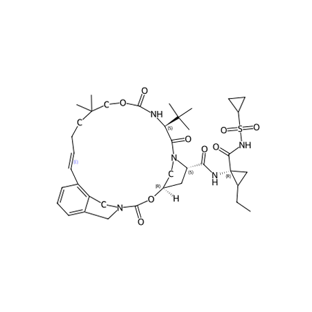 CCC1C[C@]1(NC(=O)[C@@H]1C[C@@H]2CN1C(=O)[C@H](C(C)(C)C)NC(=O)OCC(C)(C)CC/C=C/c1cccc3c1CN(C3)C(=O)O2)C(=O)NS(=O)(=O)C1CC1